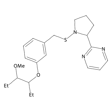 CCC(OC)C(CC)Oc1cccc(CSN2CCCC2c2ncccn2)c1